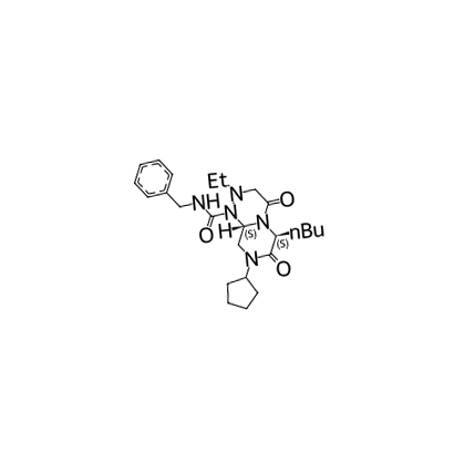 CCCC[C@H]1C(=O)N(C2CCCC2)C[C@H]2N1C(=O)CN(CC)N2C(=O)NCc1ccccc1